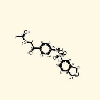 CC(=O)SCC(=O)c1ccc(NS(=O)(=O)c2ccc3c(c2)COC3)cc1